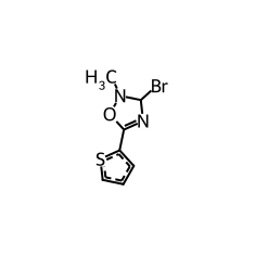 CN1OC(c2cccs2)=NC1Br